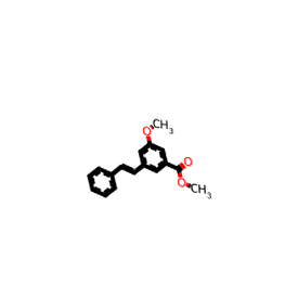 COC(=O)c1cc(C=Cc2ccccc2)cc(OC)c1